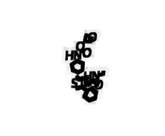 CCNS(=O)(=O)c1ccccc1-c1csc([C@H]2CC[C@H](NC(=O)OC3COC3)CC2)n1